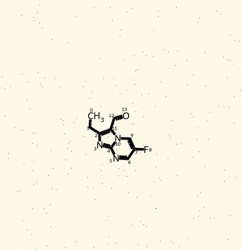 CCc1nc2ncc(F)cn2c1C=O